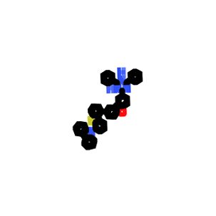 C1=c2oc3ccc(-c4cccc5sc6c(-n7c8ccccc8c8ccccc87)cccc6c45)cc3c2=CC(C2N=C(c3ccccc3)NC(c3ccccc3)N2)C1